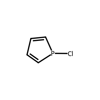 Clp1cccc1